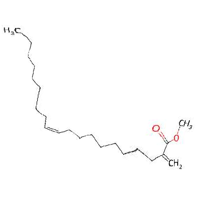 C=C(CCCCCCCC/C=C\CCCCCCCC)C(=O)OC